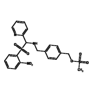 CS(=O)(=O)OCc1ccc(CNC(c2ccccn2)S(=O)(=O)c2ccccc2[N+](=O)[O-])cc1